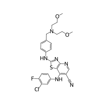 COCCN(CCOC)Cc1ccc(Nc2nc3ncc(C#N)c(Nc4ccc(F)c(Cl)c4)c3s2)cc1